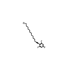 CCSCCCCCCCCCCCC#Cc1c(F)cc(F)cc1F